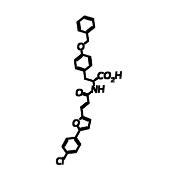 O=C(C=Cc1ccc(-c2ccc(Cl)cc2)o1)N[C@@H](Cc1ccc(OCc2ccccc2)cc1)C(=O)O